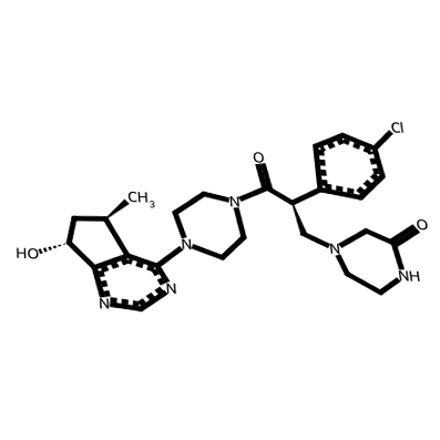 C[C@@H]1C[C@@H](O)c2ncnc(N3CCN(C(=O)[C@H](CN4CCNC(=O)C4)c4ccc(Cl)cc4)CC3)c21